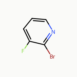 Fc1cccnc1Br